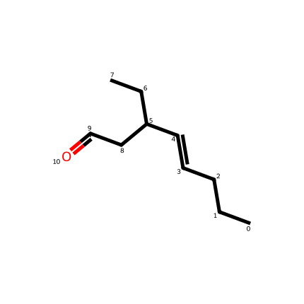 CCCC=CC(CC)C[C]=O